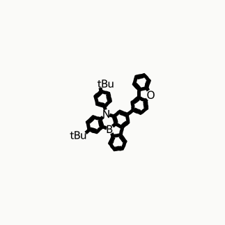 CC(C)(C)c1ccc(N2c3ccc(C(C)(C)C)cc3B3c4ccccc4-c4cc(-c5ccc6oc7ccccc7c6c5)cc2c43)cc1